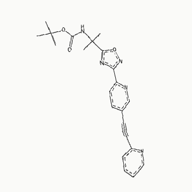 CC(C)(C)OC(=O)NC(C)(C)c1nc(-c2ccc(C#Cc3ccccn3)cn2)no1